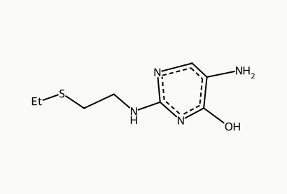 CCSCCNc1ncc(N)c(O)n1